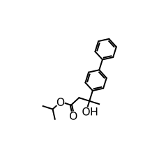 CC(C)OC(=O)CC(C)(O)c1ccc(-c2ccccc2)cc1